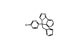 Brc1ccc(C2(Cc3ccccc3)c3ccccc3-c3nccn32)nc1